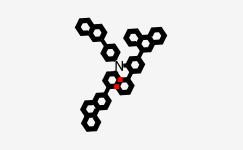 c1ccc(-c2ccc(-c3cc4ccccc4c4ccccc34)cc2N(c2ccc(-c3ccc4ccccc4c3)cc2)c2ccc(-c3ccc4c(ccc5ccccc54)c3)cc2)cc1